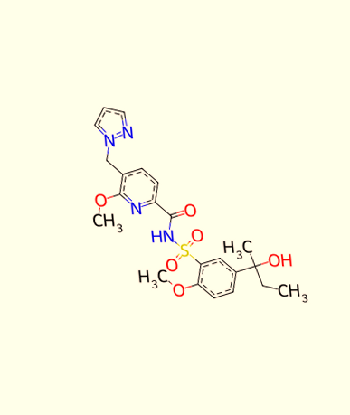 CCC(C)(O)c1ccc(OC)c(S(=O)(=O)NC(=O)c2ccc(Cn3cccn3)c(OC)n2)c1